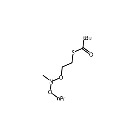 CCCON(C)OCCSC(=O)C(C)(C)C